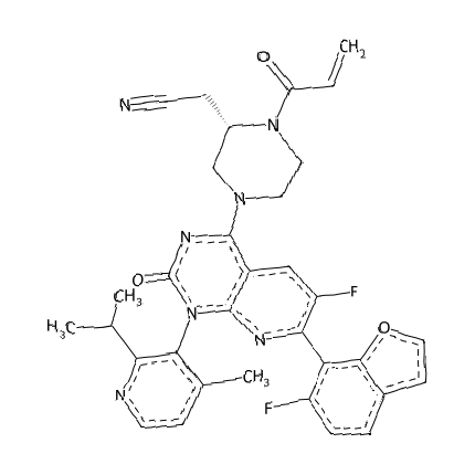 C=CC(=O)N1CCN(c2nc(=O)n(-c3c(C)ccnc3C(C)C)c3nc(-c4c(F)ccc5ccoc45)c(F)cc23)C[C@@H]1CC#N